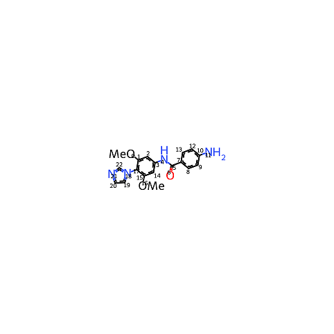 COc1cc(NC(=O)c2ccc(N)cc2)cc(OC)c1-n1ccnc1